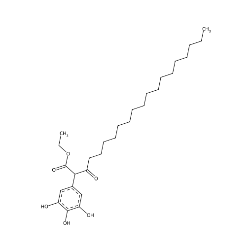 CCCCCCCCCCCCCCCCCC(=O)C(C(=O)OCC)c1cc(O)c(O)c(O)c1